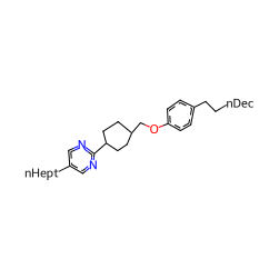 CCCCCCCCCCCCc1ccc(OCC2CCC(c3ncc(CCCCCCC)cn3)CC2)cc1